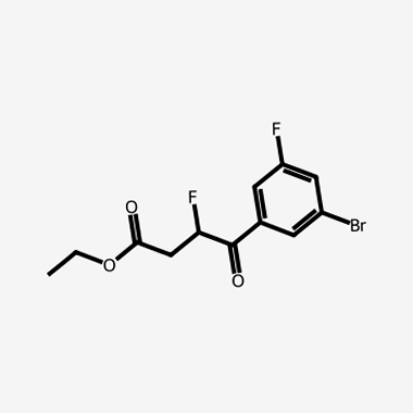 CCOC(=O)CC(F)C(=O)c1cc(F)cc(Br)c1